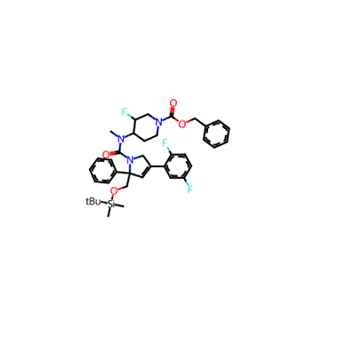 CN(C(=O)N1CC(c2cc(F)ccc2F)=CC1(CO[Si](C)(C)C(C)(C)C)c1ccccc1)C1CCN(C(=O)OCc2ccccc2)CC1F